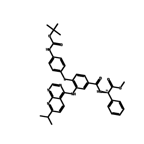 COC(=O)[C@H](NC(=O)c1ccc(Sc2ccc(NC(=O)OC(C)(C)C)cc2)c(Nc2ncnc3nc(C(C)C)ccc23)c1)c1ccccc1